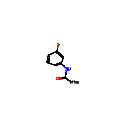 CCCCCCC(=O)Nc1cccc([S])c1